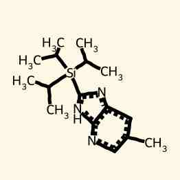 Cc1cnc2[nH]c([Si](C(C)C)(C(C)C)C(C)C)nc2c1